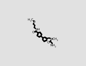 COCCCNC(=O)c1ccc(-c2cccc(CN(C)C(=O)CN)c2)cc1